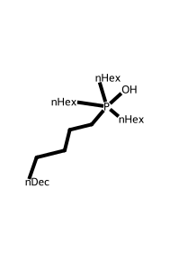 CCCCCCCCCCCCCCP(O)(CCCCCC)(CCCCCC)CCCCCC